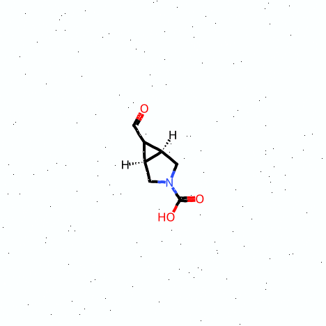 O=CC1[C@H]2CN(C(=O)O)C[C@@H]12